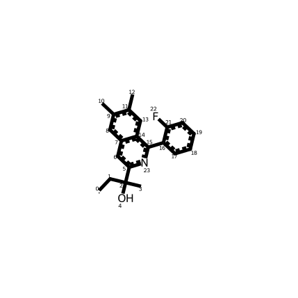 [CH2]CC(C)(O)c1cc2cc(C)c(C)cc2c(-c2ccccc2F)n1